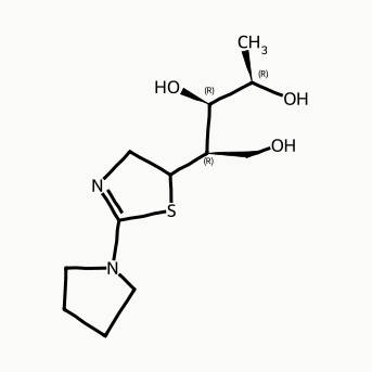 C[C@@H](O)[C@H](O)[C@@H](CO)C1CN=C(N2CCCC2)S1